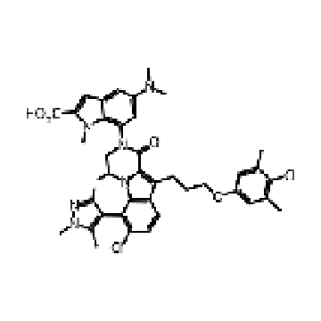 Cc1cc(OCCCc2c3n(c4c(-c5c(C)nn(C)c5C)c(Cl)ccc24)C(C)CN(c2cc(N(C)C)cc4cc(C(=O)O)n(C)c24)C3=O)cc(C)c1Cl